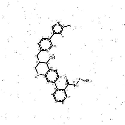 Cc1ncc(-c2ccc(C[C@@H]3COc4cc(-c5ccccc5C(=O)NSC(C)(C)C)ccc4C3O)nc2)s1